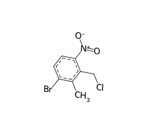 Cc1c(Br)ccc([N+](=O)[O-])c1CCl